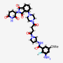 COc1cc(N)c(F)c(C(=O)N[C@H]2CCN(C(=O)CCC(=O)N3CCN(c4cccc5c4C(=O)N(C4CCC(=O)NC4=O)C5=O)CC3)C2)c1